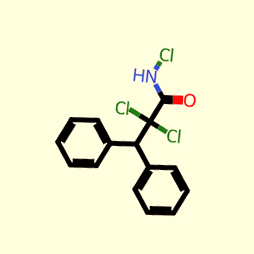 O=C(NCl)C(Cl)(Cl)C(c1ccccc1)c1ccccc1